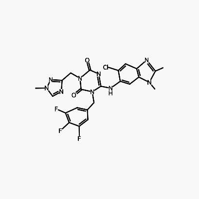 Cc1nc2cc(Cl)c(Nc3nc(=O)n(Cc4ncn(C)n4)c(=O)n3Cc3cc(F)c(F)c(F)c3)cc2n1C